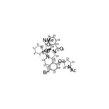 CNC(=O)[C@H]1CCCC[C@H]1C(=O)N1CCc2c(Br)ccc(O[C@H]3CCN(C(C)=O)C3)c2C1CN1C(=O)c2ccccc2C1=O